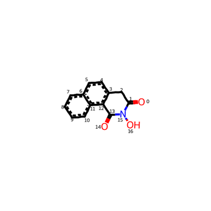 O=C1Cc2ccc3ccccc3c2C(=O)N1O